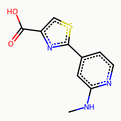 CNc1cc(-c2nc(C(=O)O)cs2)ccn1